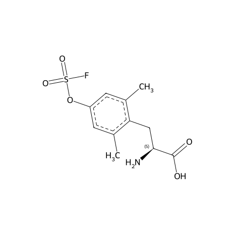 Cc1cc(OS(=O)(=O)F)cc(C)c1C[C@H](N)C(=O)O